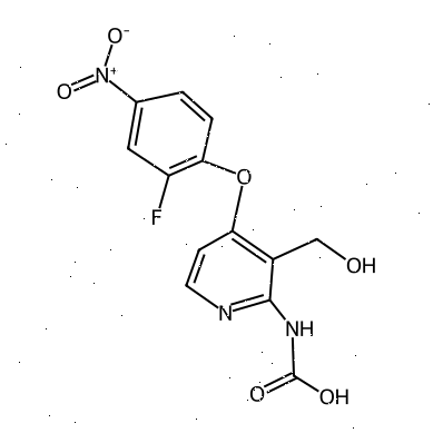 O=C(O)Nc1nccc(Oc2ccc([N+](=O)[O-])cc2F)c1CO